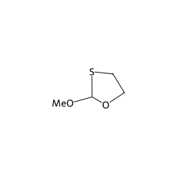 COC1OCCS1